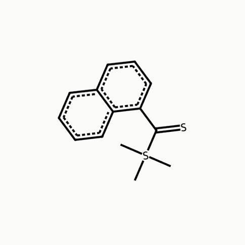 CS(C)(C)C(=S)c1cccc2ccccc12